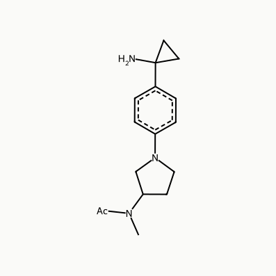 CC(=O)N(C)C1CCN(c2ccc(C3(N)CC3)cc2)C1